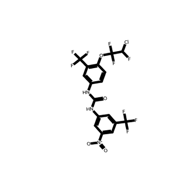 O=C(Nc1cc([N+](=O)[O-])cc(C(F)(F)F)c1)Nc1ccc(OC(F)(F)C(F)Cl)c(C(F)(F)F)c1